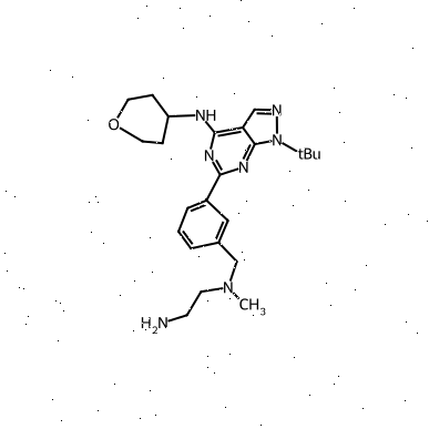 CN(CCN)Cc1cccc(-c2nc(NC3CCOCC3)c3cnn(C(C)(C)C)c3n2)c1